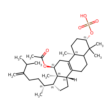 C=C(CC[C@@H](C)[C@H]1CC[C@H]2C3=C(C[C@H](OC(C)=O)[C@]12C)[C@@]1(C)CC[C@H](OS(=O)(=O)O)C(C)(C)C1CC3)C(C)C